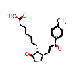 Cc1ccc(C(=O)C=C[C@H]2CCC(=O)[C@@H]2CCCCCCC(=O)O)cc1